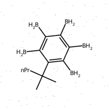 Bc1c(B)c(B)c(C(C)(C)CCC)c(B)c1B